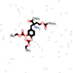 CCCCCC(=O)OCC[C@@](N)(Cc1ccc(OC(=O)OCC(C)(C)C)c(OC(=O)OCC(C)(C)C)c1)C(=O)OC